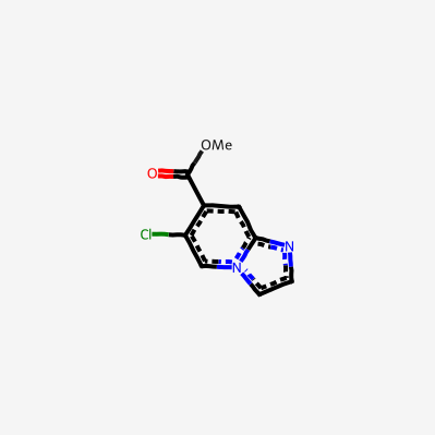 COC(=O)c1cc2nccn2cc1Cl